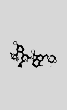 C[C@@H]1CN(Cc2cc3c4c(ccc(F)c4c2)N(c2cc(-c4ccc(Cl)cc4-c4nncn4C)cc(C4CC4)n2)C3=O)CCO1